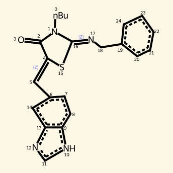 CCCCN1C(=O)/C(=C/c2ccc3[nH]cnc3c2)S/C1=N\Cc1ccccc1